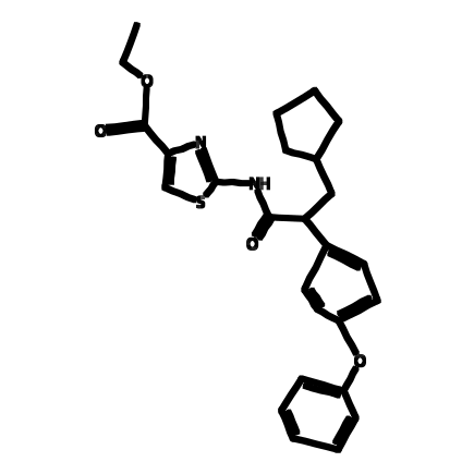 CCOC(=O)c1csc(NC(=O)C(CC2CCCC2)c2ccc(Oc3ccccc3)cc2)n1